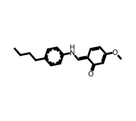 CCCCc1ccc(N/C=C2\C=CC(OC)=CC2=O)cc1